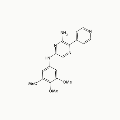 COc1cc(Nc2cnc(-c3ccncc3)c(N)n2)cc(OC)c1OC